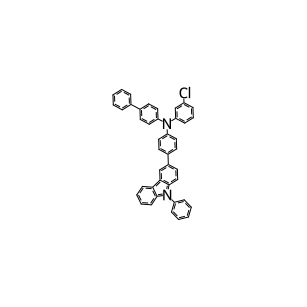 Clc1cccc(N(c2ccc(-c3ccccc3)cc2)c2ccc(-c3ccc4c(c3)c3ccccc3n4-c3ccccc3)cc2)c1